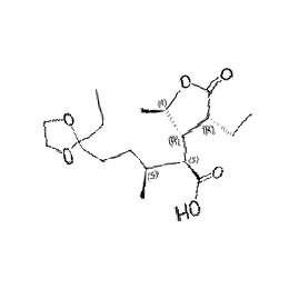 CC[C@H]1C(=O)O[C@H](C)[C@H]1[C@@H](C(=O)O)[C@@H](C)CCC1(CC)OCCO1